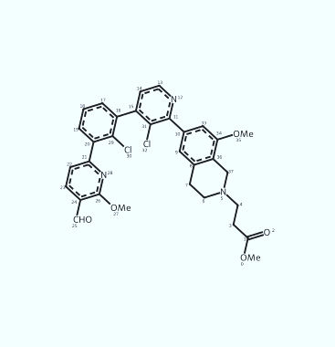 COC(=O)CCN1CCc2cc(-c3nccc(-c4cccc(-c5ccc(C=O)c(OC)n5)c4Cl)c3Cl)cc(OC)c2C1